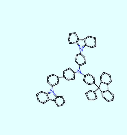 c1ccc(C2(c3ccc(N(c4ccc(-c5cccc(-n6c7ccccc7c7ccccc76)c5)cc4)c4ccc(-n5c6ccccc6c6ccccc65)cc4)cc3)c3ccccc3-c3ccccc32)cc1